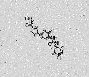 CC(C)(C)OC(=O)N1CC[C@@H](c2ccc(NC(=O)Nc3ccc(Cl)nc3)c(Cl)c2)C1